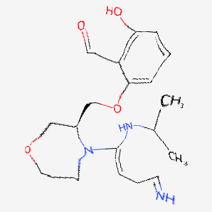 CC(C)N/C(=C\C=N)N1CCOC[C@H]1COc1cccc(O)c1C=O